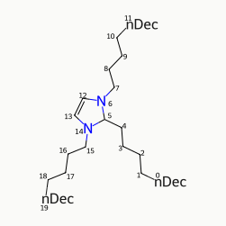 CCCCCCCCCCCCCCC1N(CCCCCCCCCCCCCC)C=CN1CCCCCCCCCCCCCC